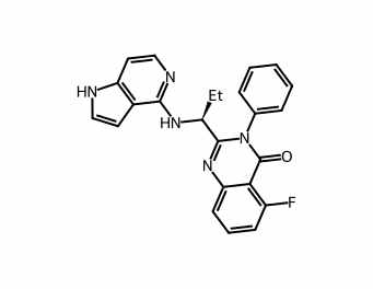 CC[C@H](Nc1nccc2[nH]ccc12)c1nc2cccc(F)c2c(=O)n1-c1ccccc1